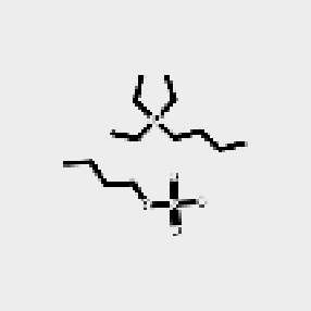 CCCCOS(=O)(=O)[O-].CCCC[P+](CC)(CC)CC